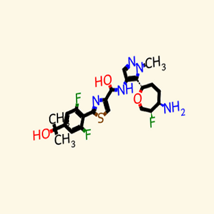 Cn1ncc(NC(O)c2csc(-c3c(F)cc(C(C)(C)O)cc3F)n2)c1[C@@H]1CC[C@@H](N)[C@H](F)CO1